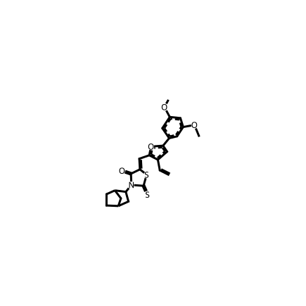 C=Cc1cc(-c2cc(OC)cc(OC)c2)oc1/C=C1\SC(=S)N(C2CC3CCC2C3)C1=O